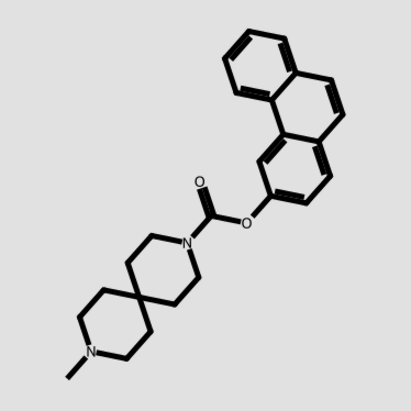 CN1CCC2(CC1)CCN(C(=O)Oc1ccc3ccc4ccccc4c3c1)CC2